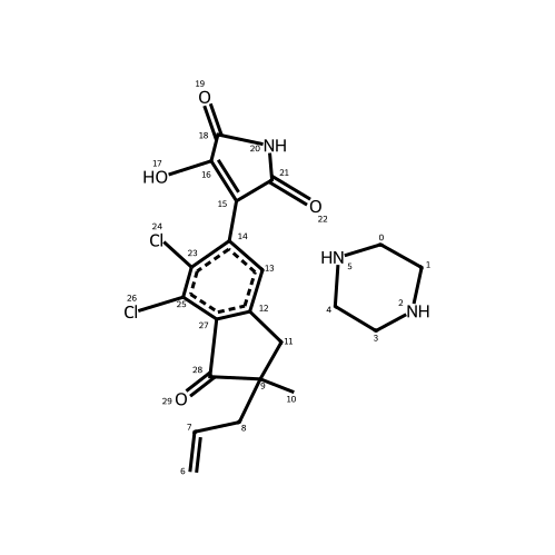 C1CNCCN1.C=CCC1(C)Cc2cc(C3=C(O)C(=O)NC3=O)c(Cl)c(Cl)c2C1=O